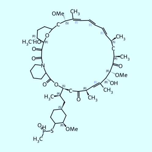 CO[C@H]1CC2CC[C@@H](C)[C@@](O)(O2)C(=O)C(=O)N2CCCCC2C(=O)O[C@H]([C@H](C)C[C@@H]2CCC(S[PH](C)=O)[C@H](OC)C2)CC(=O)[C@H](C)/C=C(\C)[C@@H](O)[C@@H](OC)C(=O)[C@H](C)C[C@H](C)/C=C/C=C/C=C/1C